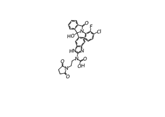 O=C1CCC(=O)N1CCN(C(=O)O)c1nc2ccc(C3(O)c4ccccc4C(=O)N3c3cccc(Cl)c3F)cc2[nH]1